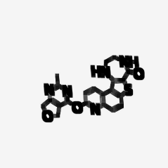 Cc1nc2c(c(Oc3ccc4c(ccc5sc6c(c54)NCCNC6=O)n3)n1)COC2